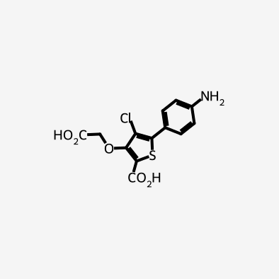 Nc1ccc(-c2sc(C(=O)O)c(OCC(=O)O)c2Cl)cc1